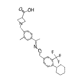 C/C(=N\OCc1ccc(C2CCCCC2)c(C(F)(F)F)c1)c1ccc(CN2CC(C(=O)O)C2)c(C)c1